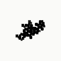 CCN(CC)c1ncc(N(C(C)C)S(C)(=O)=O)c(N[C@@H](Cc2ccc(N3C(=O)N(C)C4(CC4)C3=O)cc2)C(=O)O)n1